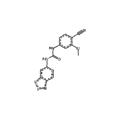 COc1cc(NC(=O)Nc2ccc3nsnc3c2)ccc1C#N